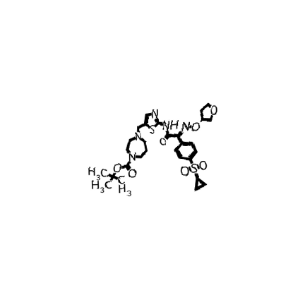 CC(C)(C)OC(=O)N1CCCN(Cc2cnc(NC(=O)/C(=N/O[C@@H]3CCOC3)c3ccc(S(=O)(=O)C4CC4)cc3)s2)CC1